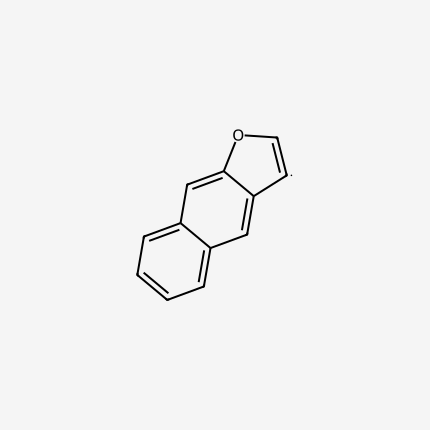 [c]1coc2cc3ccccc3cc12